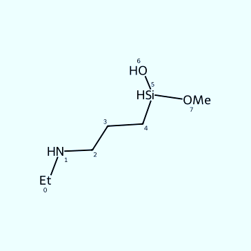 CCNCCC[SiH](O)OC